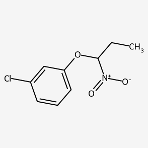 CCC(Oc1cccc(Cl)c1)[N+](=O)[O-]